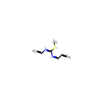 C=C/C=N\C(=N/C=C)SC